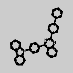 c1ccc(-c2ccc(-c3nc(-c4ccc(-n5c6ccccc6c6ccccc65)cc4)c4ccccc4n3)cc2)cc1